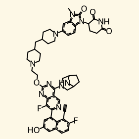 C#Cc1c(F)ccc2cc(O)cc(-c3ncc4c(N5CC6CCC(C5)N6)nc(OCCN5CCC(CC6CCN(c7ccc8c(c7)n(C)c(=O)n8C7CCC(=O)NC7=O)CC6)CC5)nc4c3F)c12